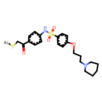 CC(=O)SCC(=O)c1ccc(NS(=O)(=O)c2ccc(OCCCN3CCCCC3)cc2)cc1